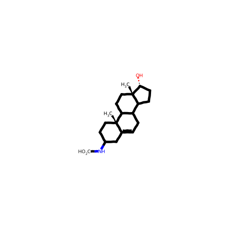 C[C@]12CCC(NC(=O)O)CC1=CCC1C2CC[C@@]2(C)C1CC[C@H]2O